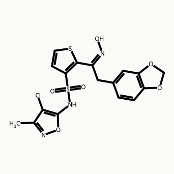 Cc1noc(NS(=O)(=O)c2ccsc2C(Cc2ccc3c(c2)OCO3)=NO)c1Cl